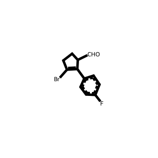 O=CC1CCC(Br)=C1c1ccc(F)cc1